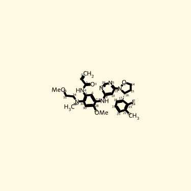 C=CC(=O)Nc1cc(Nc2cc(N3OCC[C@@H]3c3cccc(C)c3F)ncn2)c(OC)cc1N(C)CCOC